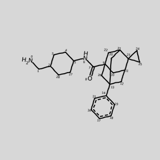 NCC1CCC(NC(=O)C23CC4CC(c5ccccc5)(CC(C2)C42CC2)C3)CC1